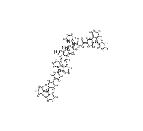 CC1(C)c2cc(-c3cccc4c3c3ccccc3n4-c3ccc(-c4ccc(N(c5ccccc5)c5ccccc5)cc4)cc3)ccc2-c2ccc(N(c3ccc(-c4ccc5c(c4)c4ccccc4n5-c4ccccc4)cc3)c3ccccn3)cc21